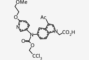 COCCOc1ccc(N(C(=O)OCC(Cl)(Cl)Cl)c2ccc3c(c2)c(C(C)=O)cn3CC(=O)O)cn1